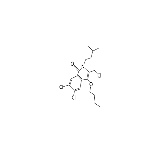 CCCCOc1c(CCl)n(CCC(C)C)c(=O)c2cc(Cl)c(Cl)cc12